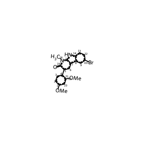 COc1ccc(-c2cc3c4cc(Br)ccc4[nH]c3n(C)c2=O)c(OC)c1